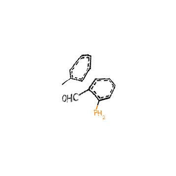 Cc1ccccc1.O=Cc1ccccc1P